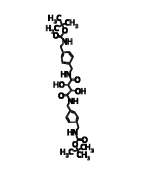 CC(C)(C)OC(=O)NCc1ccc(CNC(=O)C(O)C(O)C(=O)NCc2ccc(CNC(=O)OC(C)(C)C)cc2)cc1